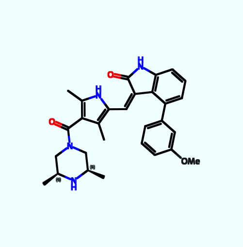 COc1cccc(-c2cccc3c2C(=Cc2[nH]c(C)c(C(=O)N4C[C@@H](C)N[C@@H](C)C4)c2C)C(=O)N3)c1